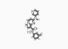 CN(c1cccnc1)c1ccn2ncc(C(=O)Nc3cccc(F)c3)c2n1